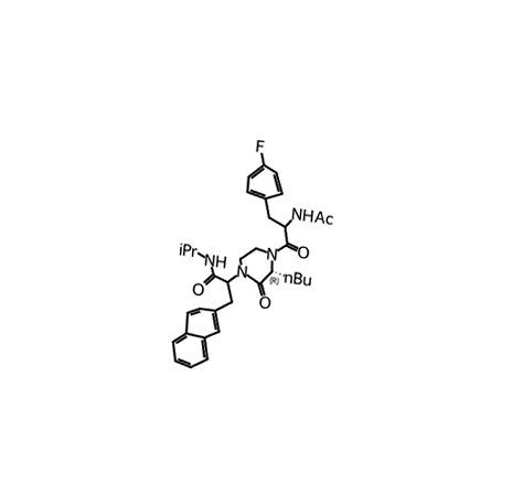 CCCC[C@@H]1C(=O)N(C(Cc2ccc3ccccc3c2)C(=O)NC(C)C)CCN1C(=O)C(Cc1ccc(F)cc1)NC(C)=O